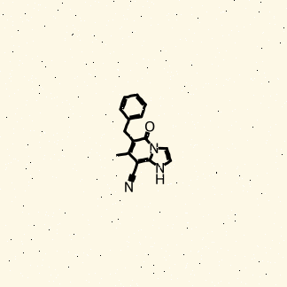 Cc1c(Cc2ccccc2)c(=O)n2cc[nH]c2c1C#N